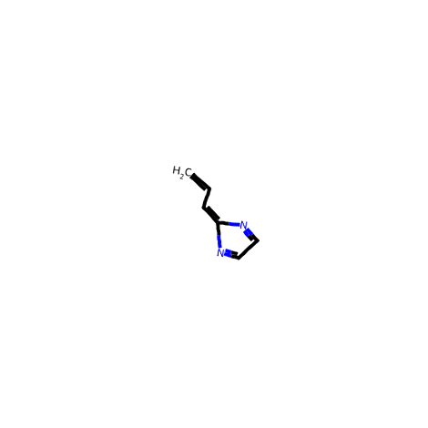 C=CC=C1N=CC=N1